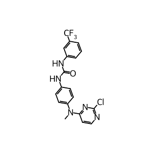 CN(c1ccc(NC(=O)Nc2cccc(C(F)(F)F)c2)cc1)c1ccnc(Cl)n1